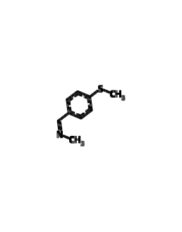 C/N=C\c1ccc(SC)cc1